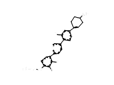 CCCCCOc1ccc(-c2ccc(-c3ccc(C4=CCC(C)CC4)cc3F)cc2)c(F)c1F